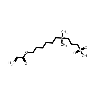 C=CC(=O)OCCCCCC[N+](C)(C)CCCS(=O)(=O)O